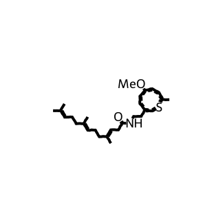 COc1ccc(CCNC(=O)C/C=C(\C)CC/C=C(\C)CCC=C(C)C)csc(C)cc1